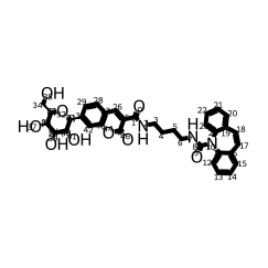 O=C(NCCCCNC(=O)N1c2ccccc2C=Cc2ccccc21)c1cc2ccc([C@@H]3O[C@H](CO)[C@H](O)[C@H](O)[C@H]3O)cc2oc1=O